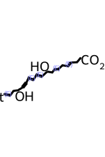 CC/C=C/CC(O)C#C/C=C/C=C/C(O)C/C=C/C/C=C/CCC(=O)O